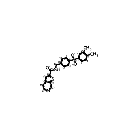 Cc1ccc(S(=O)(=O)c2ccc(CNC(=O)c3cc4ccncc4s3)cc2)cc1C